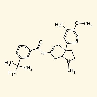 COc1ccc(C23CC=C(OC(=O)c4cccc(C(C)(C)C)c4)CC2N(C)CC3)cc1C